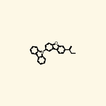 C=C(CC)c1ccc2c(c1)oc1ccc(-n3c4ccccc4c4ccccc43)cc12